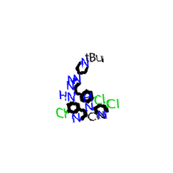 CC(C)(C)N1CCC(n2cc(C(Nc3cc(Cl)c4ncc(C#N)c(Nc5cncc(Cl)c5)c4c3)c3ccc(Cl)cc3)nn2)CC1